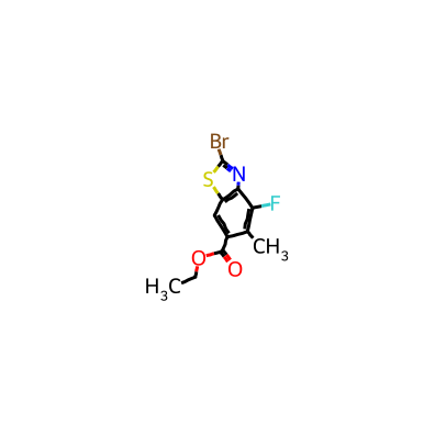 CCOC(=O)c1cc2sc(Br)nc2c(F)c1C